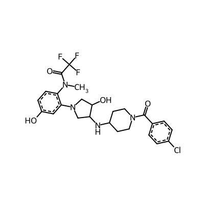 CN(C(=O)C(F)(F)F)c1ccc(O)cc1N1CC(O)C(NC2CCN(C(=O)c3ccc(Cl)cc3)CC2)C1